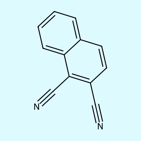 N#Cc1ccc2ccccc2c1C#N